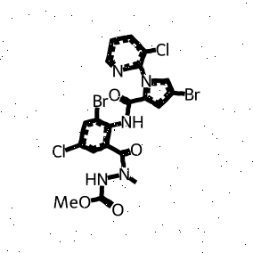 COC(=O)NN(C)C(=O)c1cc(Cl)cc(Br)c1NC(=O)c1cc(Br)cn1-c1ncccc1Cl